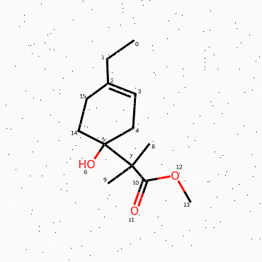 CCC1=CCC(O)(C(C)(C)C(=O)OC)CC1